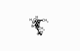 CCCC1CC(=O)C2=C(C1)NC(C)=C(C#N)C2c1cc(Br)c(OCC=CCNC(=O)C2CC2)c(OCC)c1